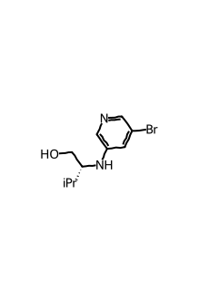 CC(C)[C@H](CO)Nc1cncc(Br)c1